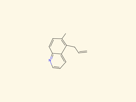 C=CCc1c(C)ccc2ncccc12